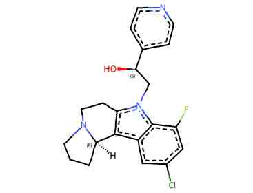 O[C@H](Cn1c2c(c3cc(Cl)cc(F)c31)[C@H]1CCCN1CC2)c1ccncc1